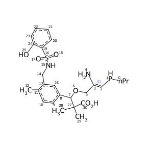 CCCP/C=C(\N)COC(c1ccc(C)c(CNS(=O)(=O)c2ccccc2O)c1)C(C)(C)C(=O)O